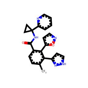 O=C(NC1(c2ccccn2)CC1)c1ccc(C(F)(F)F)c(-c2cc[nH]n2)c1-c1ccno1